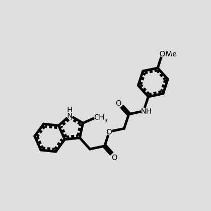 COc1ccc(NC(=O)COC(=O)Cc2c(C)[nH]c3ccccc23)cc1